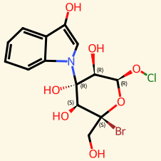 OC[C@@]1(Br)O[C@H](OCl)[C@H](O)[C@](O)(n2cc(O)c3ccccc32)[C@@H]1O